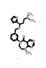 CN(C)CCC(OCc1cccc(N2CCN(C)c3ncncc3C2=O)c1)c1cccs1